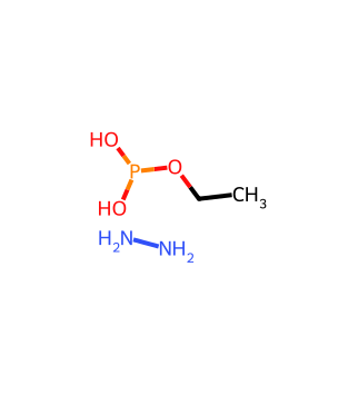 CCOP(O)O.NN